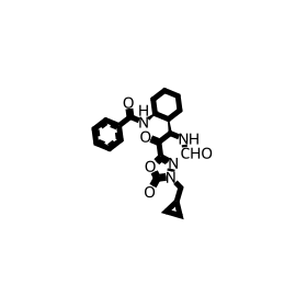 O=CNC(C(=O)c1nn(CC2CC2)c(=O)o1)[C@@H]1CCCC[C@@H]1NC(=O)c1ccccc1